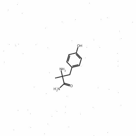 CC(N)(Cc1ccc(O)cc1)C(N)=O